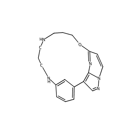 c1cc2cc(c1)-c1cnn3ccc(nc13)OCCCNCCCN2